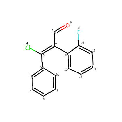 O=C/C(=C(\Cl)c1ccccc1)c1ccccc1F